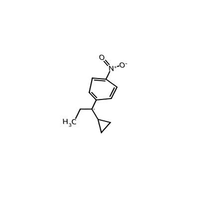 CC[C](c1ccc([N+](=O)[O-])cc1)C1CC1